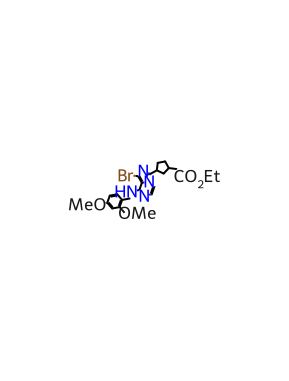 CCOC(=O)CC1CCC(c2nc(Br)c3c(NCc4ccc(OC)cc4OC)nccn23)C1